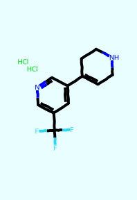 Cl.Cl.FC(F)(F)c1cncc(C2=CCNCC2)c1